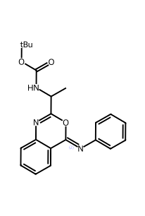 CC(NC(=O)OC(C)(C)C)c1nc2ccccc2/c(=N/c2ccccc2)o1